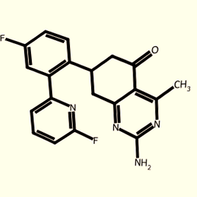 Cc1nc(N)nc2c1C(=O)CC(c1ccc(F)cc1-c1cccc(F)n1)C2